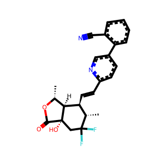 C[C@H]1OC(=O)[C@]2(O)CC(F)(F)[C@@H](C)[C@H](/C=C/c3ccc(-c4ccccc4C#N)cn3)[C@H]12